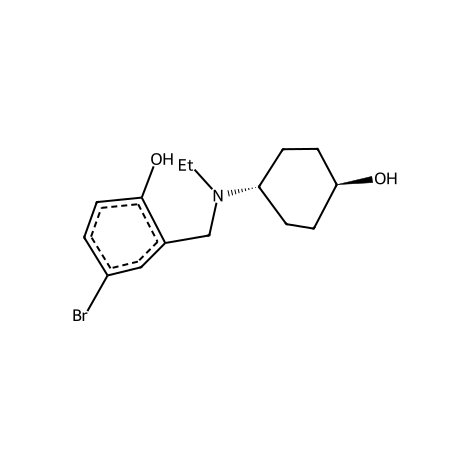 CCN(Cc1cc(Br)ccc1O)[C@H]1CC[C@H](O)CC1